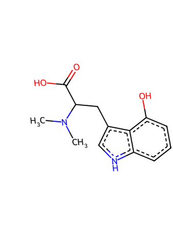 CN(C)C(Cc1c[nH]c2cccc(O)c12)C(=O)O